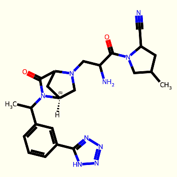 CC1CC(C#N)N(C(=O)C(N)CN2C[C@@H]3CC2C(=O)N3C(C)c2cccc(-c3nnn[nH]3)c2)C1